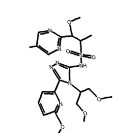 COCC(COC)n1c(NS(=O)(=O)C(C)C(OC)c2ncc(C)cn2)nnc1-c1cccc(OC)n1